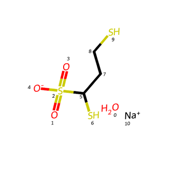 O.O=S(=O)([O-])C(S)CCS.[Na+]